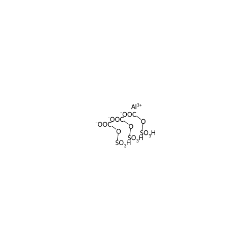 O=C([O-])OS(=O)(=O)O.O=C([O-])OS(=O)(=O)O.O=C([O-])OS(=O)(=O)O.[Al+3]